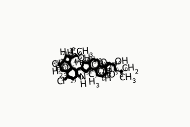 C=C(C)[C@H]1O[C@H]2CC[C@@]3(C)[C@@](O)(CC[C@H]4[C@@H]5OC(C)(C)[C@H]6C[C@@H]7C(=C)Cc8c(Cl)cc9[nH]c(c5c9c8[C@@]76O)[C@@]43C)[C@@]23O[C@H]3[C@H]1O